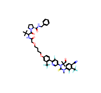 CN(C(=S)N(c1cnc(-c2ccc(OCCCCOCC(=O)NC(C(=O)N3CCC[C@H]3C(=O)NCc3ccccc3)C(C)(C)C)cc2C(F)(F)F)c(F)c1)C(C)(C)C=O)c1ccc(C#N)c(C(F)(F)F)c1F